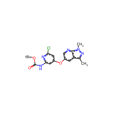 Cc1nn(C)c2ncc(Oc3cc(Cl)nc(NC(=O)OC(C)(C)C)c3)cc12